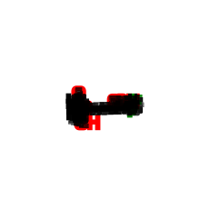 C[C@]12CCC(=O)C[C@@H]1CC[C@@H]1[C@@H]2[C@@H](OCCCCCCCCCC(CCCC(F)(F)C(F)(F)F)C(=O)O)C[C@]2(C)[C@@H](O)CC[C@@H]12